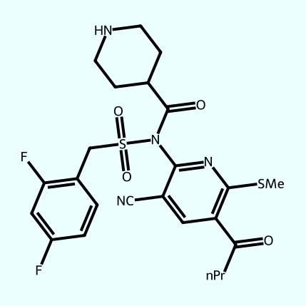 CCCC(=O)c1cc(C#N)c(N(C(=O)C2CCNCC2)S(=O)(=O)Cc2ccc(F)cc2F)nc1SC